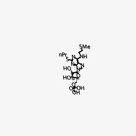 CCCSc1nc(NCCSC)c2ncn([C@@H]3O[C@H](COP(=O)(O)O)[C@@H](O)[C@H]3O)c2n1